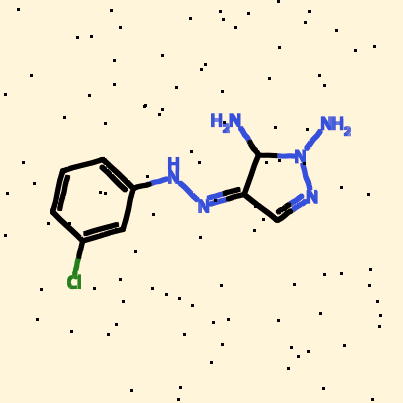 NC1C(=NNc2cccc(Cl)c2)C=NN1N